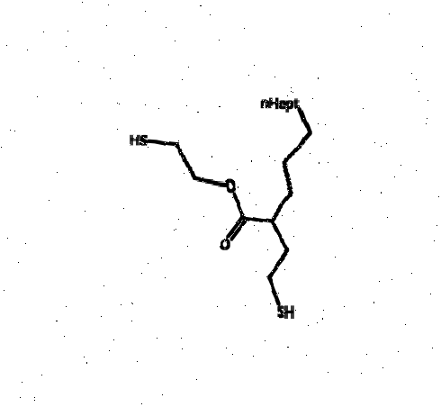 CCCCCCCCCCC(CCS)C(=O)OCCS